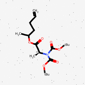 C=CCCC(C)OC(=O)[C@H](C)N(C(=O)OC(C)(C)C)C(=O)OC(C)(C)C